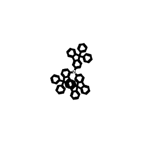 c1ccc(C2(c3ccccc3)c3ccccc3-c3cc(N(c4ccc5c(c4)C4(c6ccccc6-c6ccccc64)c4ccccc4-5)c4cccc5c4-c4ccccc4C5(c4ccccc4)c4ccccc4)ccc32)cc1